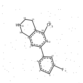 Fc1cccc(-c2nc3c(c(C(F)(F)F)n2)CCNC3)c1